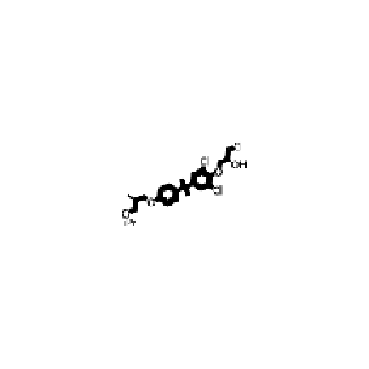 CC(C)OC[C@@H](C)COc1ccc(C(C)(C)c2cc(Cl)c(OC[C@@H](O)CCl)c(Cl)c2)cc1